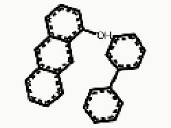 Oc1cccc2cc3ccccc3cc12.c1ccc(-c2ccccc2)cc1